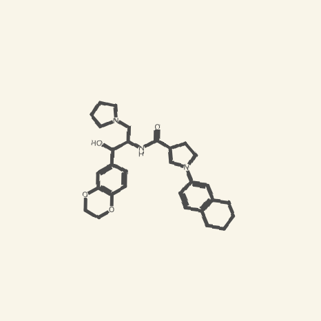 O=C(NC(CN1CCCC1)C(O)c1ccc2c(c1)OCCO2)C1CCN(c2ccc3c(c2)CCCC3)C1